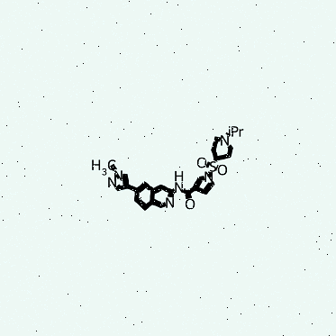 CC(C)N1CCC(S(=O)(=O)n2ccc(C(=O)Nc3cc4cc(-c5cnn(C)c5)ccc4cn3)c2)CC1